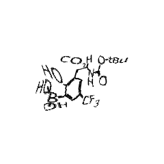 CC(C)(C)OC(=O)NC(Cc1cc(C(F)(F)F)cc(B(O)O)c1O)C(=O)O